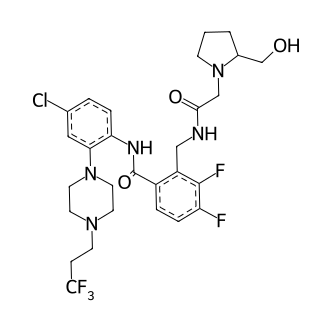 O=C(CN1CCCC1CO)NCc1c(C(=O)Nc2ccc(Cl)cc2N2CCN(CCC(F)(F)F)CC2)ccc(F)c1F